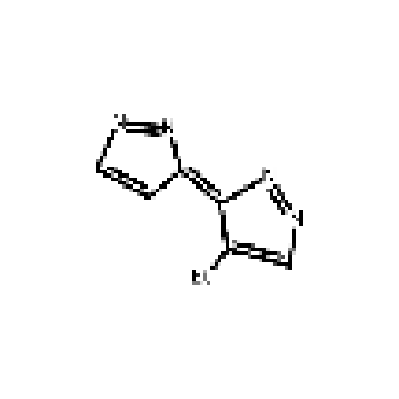 CCC1=CN=NC1=C1C=CN=N1